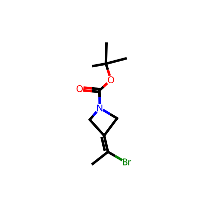 CC(Br)=C1CN(C(=O)OC(C)(C)C)C1